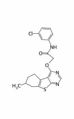 CC1CCc2c(sc3ncnc(OCC(=O)Nc4cccc(Cl)c4)c23)C1